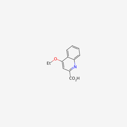 CCOc1cc(C(=O)O)nc2ccccc12